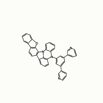 c1cncc(-c2cc(-c3cccnc3)cc(N3c4ccccc4-n4c5c3cccc5c3ccc5c6ccccc6oc5c34)c2)c1